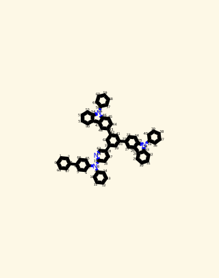 c1ccc(-c2ccc(N(c3ccccc3)c3ccc(-c4cc(-c5ccc6c(c5)c5ccccc5n6-c5ccccc5)cc(-c5ccc6c(c5)c5ccccc5n6-c5ccccc5)c4)cn3)cc2)cc1